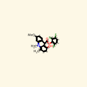 COc1ccc2c(c1)N(C)c1c(C)ccc(O)c1C2C(=O)Oc1c(F)ccc(F)c1F